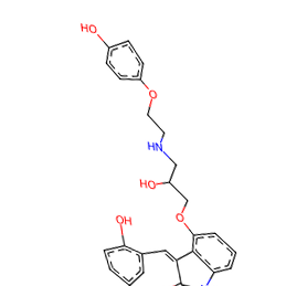 O=C1Nc2cccc(OCC(O)CNCCOc3ccc(O)cc3)c2/C1=C/c1ccccc1O